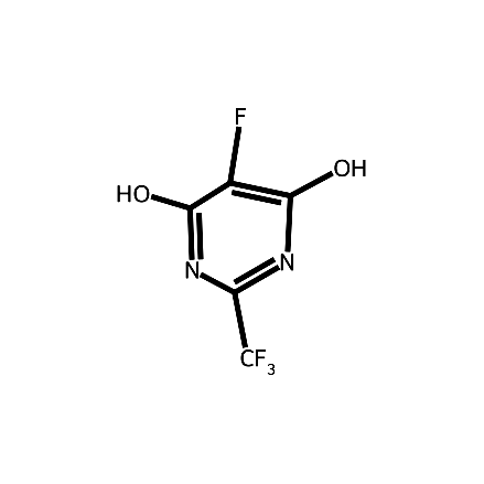 Oc1nc(C(F)(F)F)nc(O)c1F